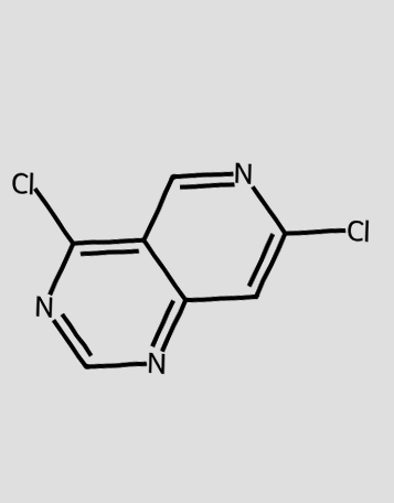 Clc1cc2ncnc(Cl)c2cn1